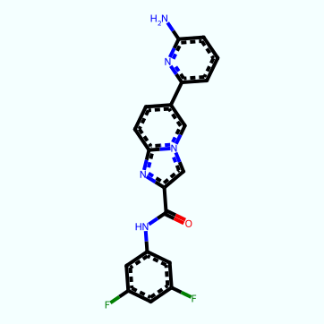 Nc1cccc(-c2ccc3nc(C(=O)Nc4cc(F)cc(F)c4)cn3c2)n1